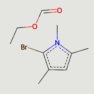 CCOC=O.Cc1cc(C)n(C)c1Br